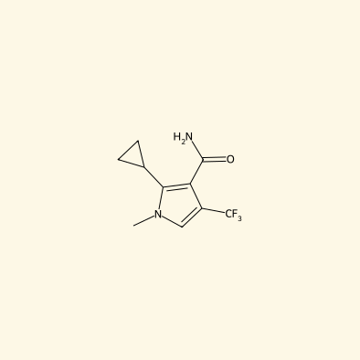 Cn1cc(C(F)(F)F)c(C(N)=O)c1C1CC1